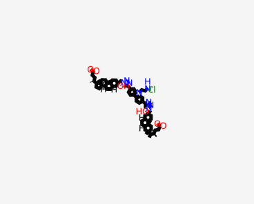 COC(=O)CC[C@@H](C)C(C)C1(C)CCC2[C@@H](CC[C@H]3C[C@](O)(Cn4cc(-c5ccc6c7ccc(-c8cn(C[C@]9(O)CCC%10(C)C%11CCC%12(C)C([C@H](C)CCC(=O)OC)CC[C@H]%12[C@@H]%11C=C[C@@H]%10C9)nn8)cc7n(CCNCl)c6c5)nn4)CCC23C)C1